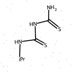 CC(C)NC(=S)NC(N)=S